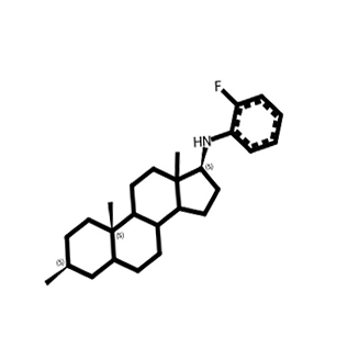 C[C@H]1CC[C@@]2(C)C(CCC3C4CC[C@H](Nc5ccccc5F)C4(C)CCC32)C1